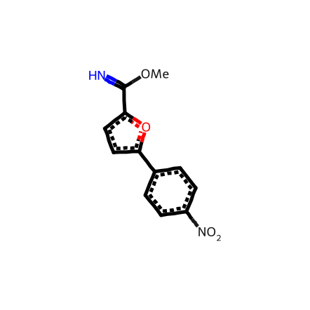 COC(=N)c1ccc(-c2ccc([N+](=O)[O-])cc2)o1